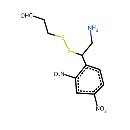 NCC(SSCCC=O)c1ccc([N+](=O)[O-])cc1[N+](=O)[O-]